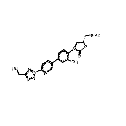 CC(=O)NC[C@H]1CN(c2ccc(-c3ccc(-n4nnc(CO)n4)nc3)cc2C)C(=O)O1